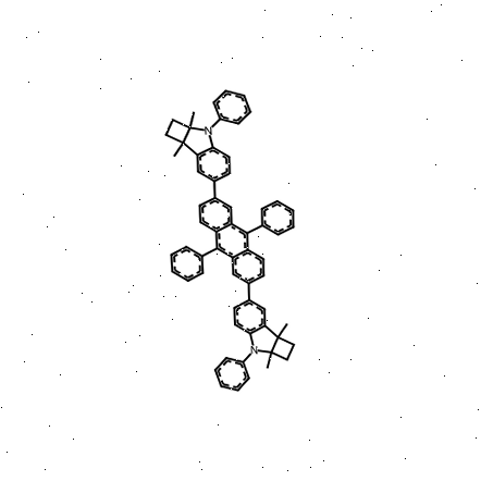 CC12CCC1(C)N(c1ccccc1)c1ccc(-c3ccc4c(-c5ccccc5)c5cc(-c6ccc7c(c6)C6(C)CCC6(C)N7c6ccccc6)ccc5c(-c5ccccc5)c4c3)cc12